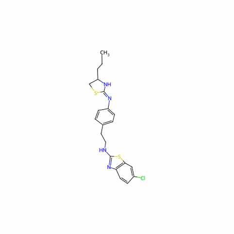 CCCC1CS/C(=N\c2ccc(CCNc3nc4ccc(Cl)cc4s3)cc2)N1